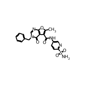 Cc1oc2ncn(Cc3ccccc3)c(=O)c2c1C(=O)Nc1ccc(S(N)(=O)=O)nc1